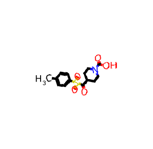 Cc1ccc(S(=O)(=O)C(=O)C2CCN(C(=O)O)CC2)cc1